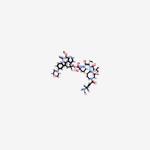 CC[C@H](NC(=O)[C@H](C(C)C)N1CCCCN(C(=O)C#CC(C)(C)N(C)C)CC1=O)C(=O)N1CCC[C@](O)(C(=O)OCC(C)(C)Cc2c(-c3cccnc3[C@H](C)OC)n(CC)c3ccc(N4CCOCC4)cc23)N1